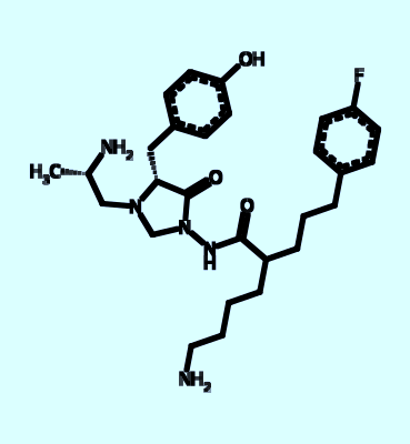 C[C@H](N)CN1CN(NC(=O)C(CCCCN)CCCc2ccc(F)cc2)C(=O)[C@H]1Cc1ccc(O)cc1